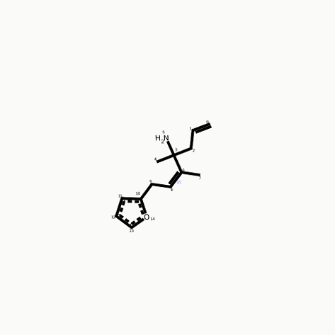 C=CCC(C)(N)/C(C)=C\Cc1ccco1